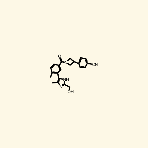 Cc1ccc(C(=O)N2CC(c3ccc(C#N)cc3)C2)cc1-c1[nH]c(CO)nc1C